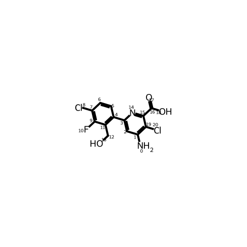 Nc1cc(-c2ccc(Cl)c(F)c2CO)nc(C(=O)O)c1Cl